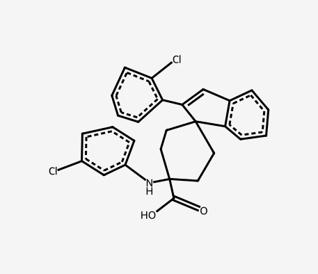 O=C(O)C1(Nc2cccc(Cl)c2)CCC2(CC1)C(c1ccccc1Cl)=Cc1ccccc12